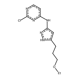 CCOCCCc1cc(Nc2ccnc(Cl)n2)n[nH]1